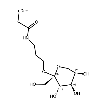 CCCCCCCCCCCC(=O)NCCCO[C@]1(CO)OC[C@@H](O)[C@@H](O)[C@@H]1O